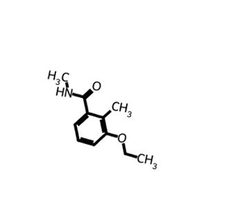 CCOc1cccc(C(=O)NC)c1C